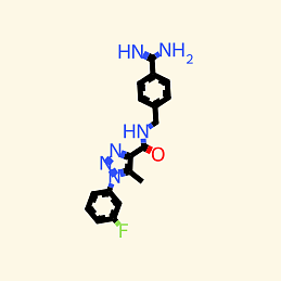 Cc1c(C(=O)NCc2ccc(C(=N)N)cc2)nnn1-c1cccc(F)c1